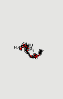 Cc1ncsc1-c1ccc(C(C)NC(=O)[C@@H]2C[C@@H](O)CN2C(=O)C(c2cc(OCCOCCOc3ccc(CN4C(=O)/C(=C/C=C/c5ccc([N+](=O)[O-])cc5)c5ccccc54)cc3)no2)C(C)C)cc1